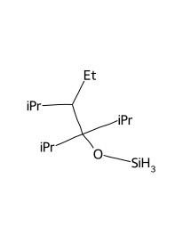 CCC(C(C)C)C(O[SiH3])(C(C)C)C(C)C